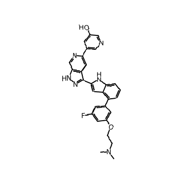 CN(C)CCOc1cc(F)cc(-c2cccc3[nH]c(-c4n[nH]c5cnc(-c6cncc(O)c6)cc45)cc23)c1